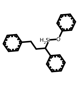 c1ccc(CCC([SiH2]Oc2ccccc2)c2ccccc2)cc1